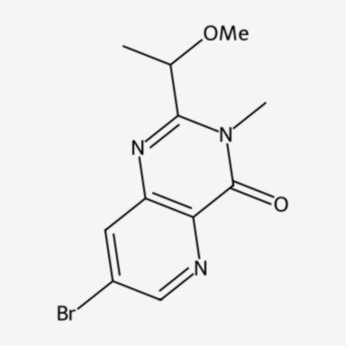 COC(C)c1nc2cc(Br)cnc2c(=O)n1C